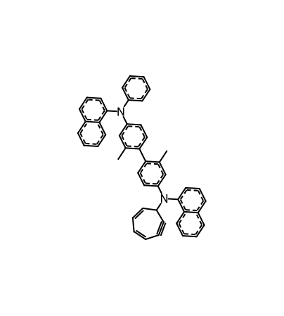 Cc1cc(N(c2ccccc2)c2cccc3ccccc23)ccc1-c1ccc(N(c2cccc3ccccc23)C2C#CC=CC=C2)cc1C